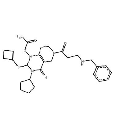 O=C(CCNCc1ccccc1)N1CCC2=C(C1)C(=O)N(C1CCCC1)C(SC1CCC1)N2OC(=O)C(F)(F)F